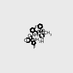 C[C@@H]1CNC[C@H](CCc2c(F)cccc2NC(=O)[C@@H](N)C2(C3=CC(F)=CC3)CCOCC2)N1S(=O)(=O)c1ccccc1